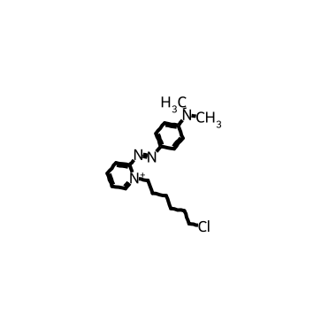 CN(C)c1ccc(/N=N/c2cccc[n+]2CCCCCCCl)cc1